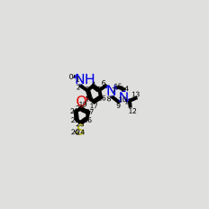 CNCc1cc(CN2CCN(C(C)C)CC2)ccc1Oc1ccc(SC)cc1